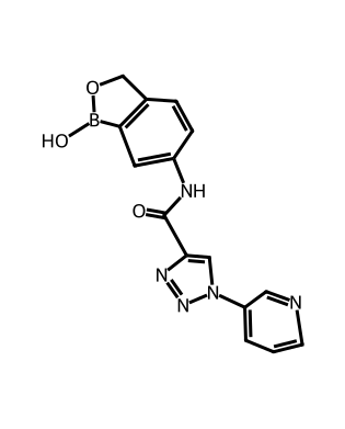 O=C(Nc1ccc2c(c1)B(O)OC2)c1cn(-c2cccnc2)nn1